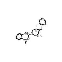 COc1ccccc1NC(=O)N1C[C@@H](C)N(Cc2ccccc2)[C@@H](C)C1